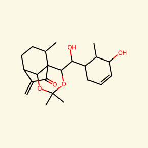 C=C1C(=O)C23C(C)CCC1C2OC(C)(C)OC3C(O)C1CC=CC(O)C1C